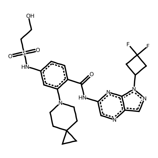 O=C(Nc1cnc2cnn(C3CC(F)(F)C3)c2n1)c1ccc(NS(=O)(=O)CCO)cc1N1CCC2(CC1)CC2